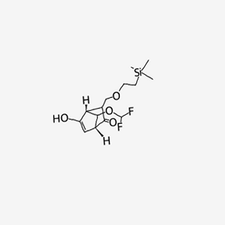 C[Si](C)(C)CCOCC1C(=O)[C@@H]2C=C(O)[C@H]1C2OC(F)F